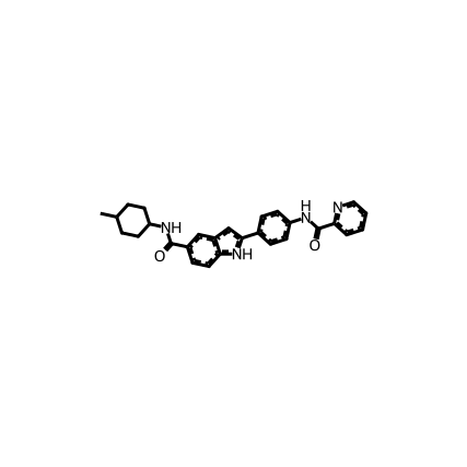 CC1CCC(NC(=O)c2ccc3[nH]c(-c4ccc(NC(=O)c5ccccn5)cc4)cc3c2)CC1